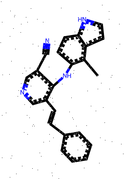 Cc1c(Nc2c(C#N)cncc2C=Cc2ccccc2)ccc2[nH]ccc12